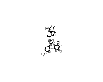 O=C(N[C@H]1C[C@@H]2CC[C@H]1C2)c1nc(-c2ccc(Cl)cc2Cl)c(-c2ccc(C(F)(F)F)cc2)s1